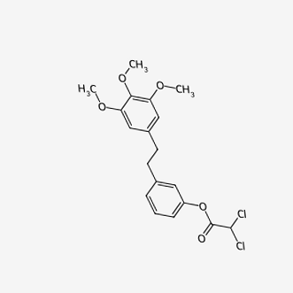 COc1cc(CCc2cccc(OC(=O)C(Cl)Cl)c2)cc(OC)c1OC